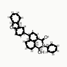 O=C1c2ccc(-c3ccc4oc5ccccc5c4c3)c3cccc(c23)C(O)N1c1ccccc1